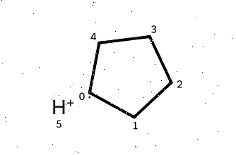 [CH]1CCCC1.[H+]